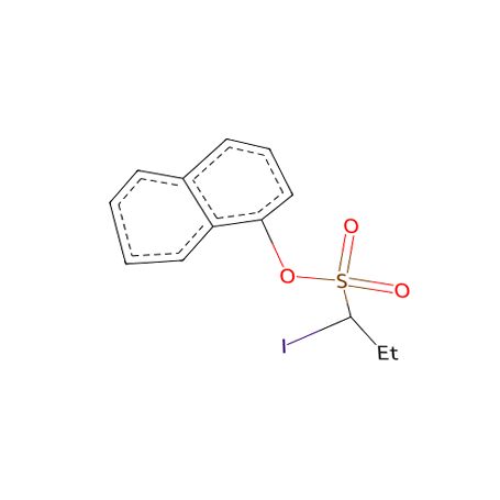 CCC(I)S(=O)(=O)Oc1cccc2ccccc12